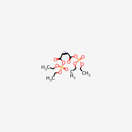 CCOP(=O)(OCC)OC(=O)/C=C\C(=O)OP(=O)(OCC)OCC